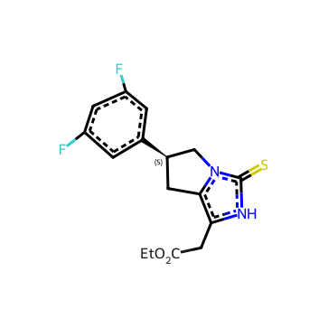 CCOC(=O)Cc1[nH]c(=S)n2c1C[C@@H](c1cc(F)cc(F)c1)C2